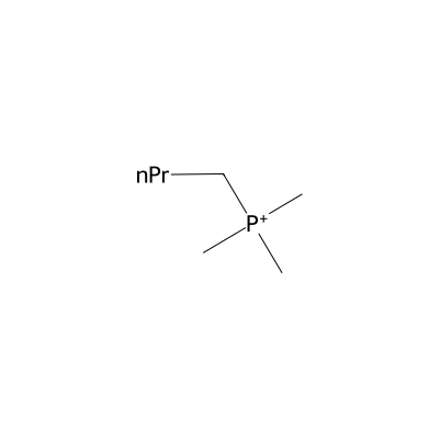 CCCC[P+](C)(C)C